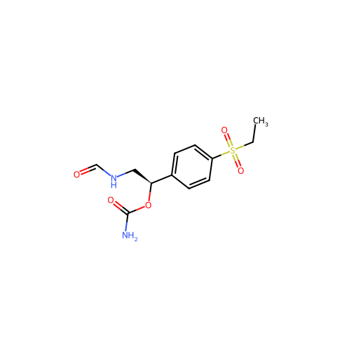 CCS(=O)(=O)c1ccc([C@H](CNC=O)OC(N)=O)cc1